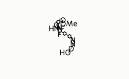 COC(=O)c1cc(Oc2nc3c(F)c(-c4ccc(-c5ccc(CN6CCN(CCOCCO)CC6)cc5)cc4)c(F)cc3[nH]2)ccc1C